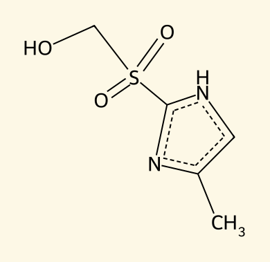 Cc1c[nH]c(S(=O)(=O)CO)n1